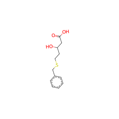 O=C(O)CC(O)CCSCc1ccccc1